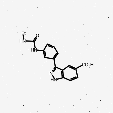 CCNC(=O)Nc1cccc(-c2n[nH]c3ccc(C(=O)O)cc23)c1